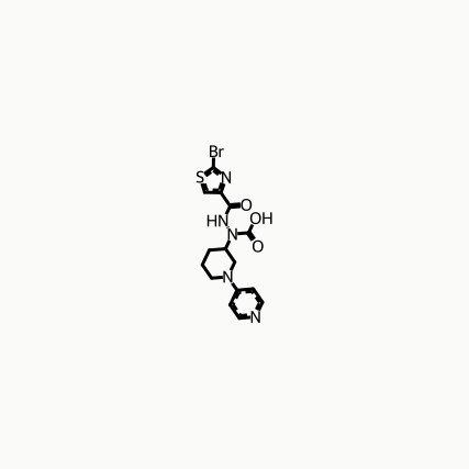 O=C(NN(C(=O)O)C1CCCN(c2ccncc2)C1)c1csc(Br)n1